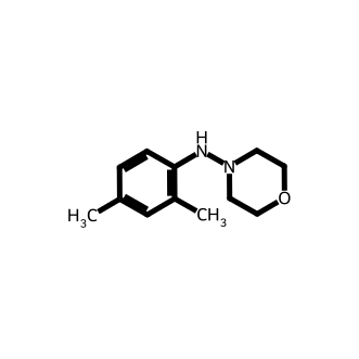 Cc1ccc(NN2CCOCC2)c(C)c1